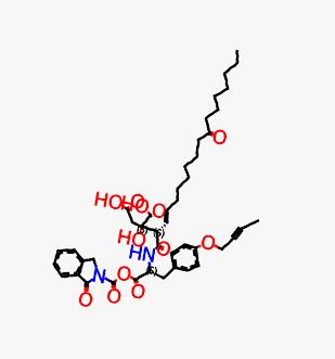 CC#CCOc1ccc(C[C@H](NC(=O)[C@@H](C=CCCCCCCC(=O)CCCCCCC)[C@@](O)(CC(=O)O)C(=O)O)C(=O)OC(=O)N2Cc3ccccc3C2=O)cc1